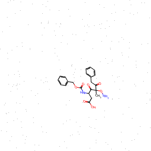 CC(ON)(C(=O)Cc1ccccc1)C(=O)C(CC(=O)O)NC(=O)OCc1ccccc1